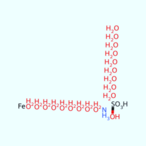 N.O.O.O.O.O.O.O.O.O.O.O.O.O.O.O.O.O.O.O=S(=O)(O)O.[Fe]